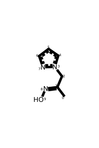 CC(Cn1cccn1)=NO